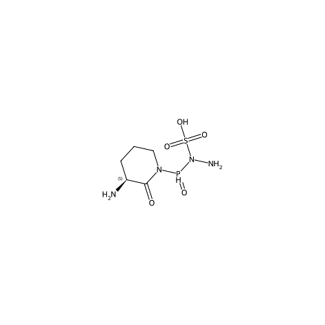 N[C@H]1CCCN([PH](=O)N(N)S(=O)(=O)O)C1=O